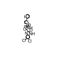 O=C(NS(=O)(=O)c1ccc(-c2ccccn2)s1)c1nc2cc(Cl)c(Cl)cc2[nH]c1=O